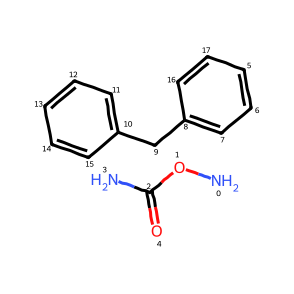 NOC(N)=O.c1ccc(Cc2ccccc2)cc1